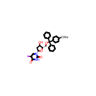 COc1ccc(C(OC[C@@H]2O[C@H](n3cc(I)c(=O)[nH]c3=O)CC2O)(c2ccccc2)c2ccccc2)cc1